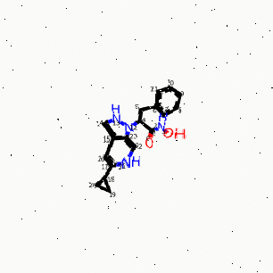 O=C(NO)C(Cc1ccccc1)N1NC=C2C=C(C3CC3)NC=C21